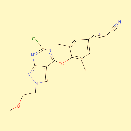 COCCn1cc2c(Oc3c(C)cc(/C=C/C#N)cc3C)nc(Cl)nc2n1